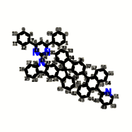 c1ccc(-c2cc(-c3ccccc3)nc(-n3c4ccccc4c4cc5c(cc43)C3(c4ccccc4-c4ccc(-c6c7ccccc7c(-c7ccccn7)c7ccccc67)cc43)c3ccccc3-5)n2)cc1